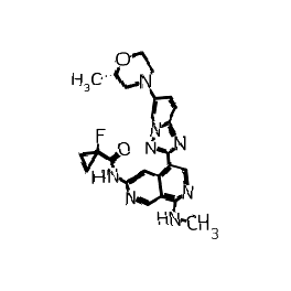 CNc1ncc(-c2nc3ccc(N4CCO[C@@H](C)C4)cn3n2)c2cc(NC(=O)C3(F)CC3)ncc12